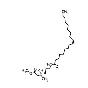 CCCCCCCC/C=C\CCCCCCCC(=O)NCCC[N+](C)(C)CC(=O)OC